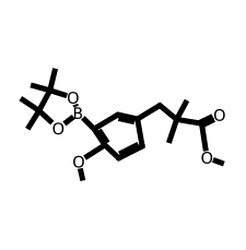 COC(=O)C(C)(C)Cc1ccc(OC)c(B2OC(C)(C)C(C)(C)O2)c1